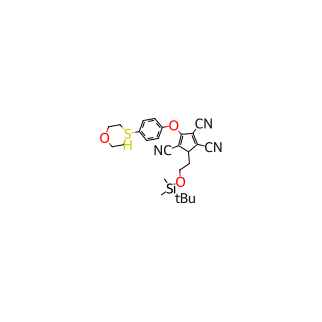 CC(C)(C)[Si](C)(C)OCCC1C(C#N)=C(C#N)C(Oc2ccc([SH]3CCOCC3)cc2)=C1C#N